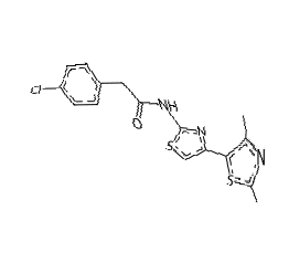 Cc1nc(C)c(-c2csc(NC(=O)Cc3ccc(Cl)cc3)n2)s1